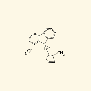 CC1=[C]([Ti+2][CH]2c3ccccc3-c3ccccc32)CC=C1.[Cl-].[Cl-]